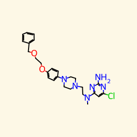 CN(CCN1CCN(c2ccc(OCCOCc3ccccc3)cc2)CC1)c1cc(Cl)nc(N)n1